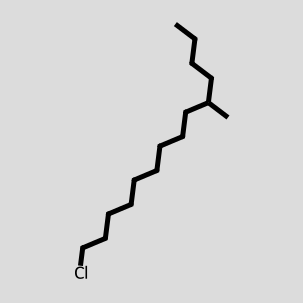 CCCCC(C)CCCCCCCCCCl